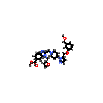 COCc1cccc(OCc2ccnn2C2CCN(Cc3nc4ccc(C(=O)OC)cc4n3C[C@@H]3CCO3)CC2)c1